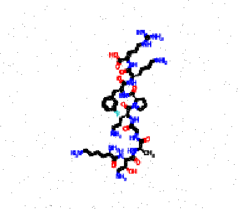 C[C@H](NC(=O)[C@@H](NC(=O)[C@@H](N)CCCCN)[C@@H](O)CN)C(=O)NCC(=O)N[C@H](CCCN)C(=O)N1CCC[C@H]1C(=O)N[C@@H](Cc1cccc(F)c1)C(=O)N[C@@H](CCCCN)C(=O)N/C(=C\CCNC(=N)N)C(=O)O